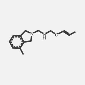 C/C=C/OCNCN1Cc2cccc(C)c2C1